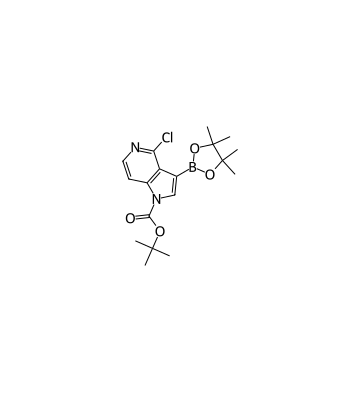 CC(C)(C)OC(=O)n1cc(B2OC(C)(C)C(C)(C)O2)c2c(Cl)nccc21